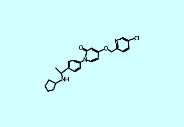 CC(NC1CCCC1)c1ccc(-n2ccc(OCc3ccc(Cl)cn3)cc2=O)cc1